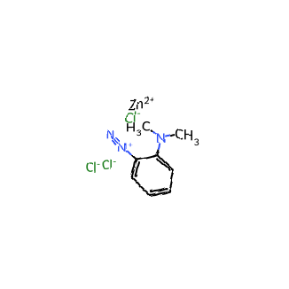 CN(C)c1ccccc1[N+]#N.[Cl-].[Cl-].[Cl-].[Zn+2]